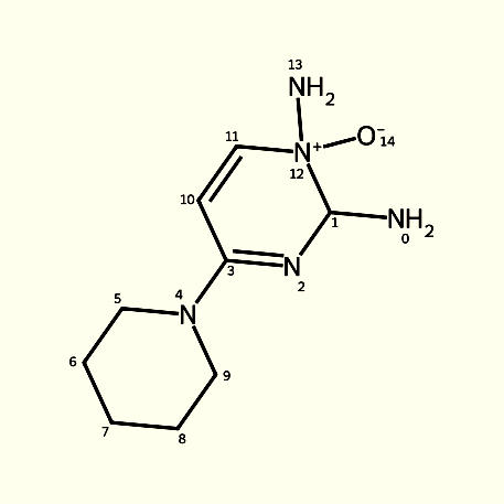 NC1N=C(N2CCCCC2)C=C[N+]1(N)[O-]